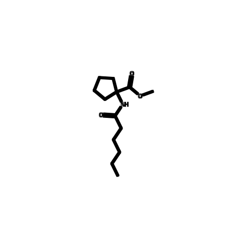 CCCCCC(=O)NC1(C(=O)OC)CCCC1